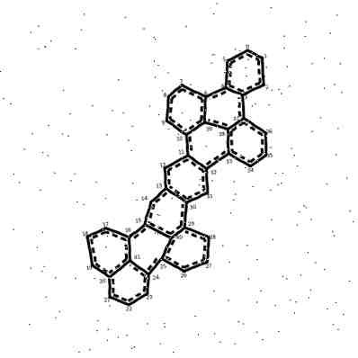 c1ccc2c(c1)c1cccc3c4cc5cc6c7cccc8cccc(c9cccc(c5cc4c4cccc2c4c13)c96)c87